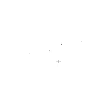 F.F.F.F.OCCCN1CCN(CCCO)CC1